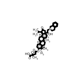 CC(C)C1=C2[C@H]3CC[C@@H]4[C@@]5(C)CC[C@H](OC(=O)CC(C)(C)C(=O)O)C(C)(C)[C@@H]5CC[C@@]4(C)[C@]3(C)CCC2(C(O)CN2CCc3ccccc3C2)CC1=O